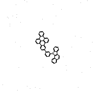 c1cc(-c2ccc3c(c2)c2cccc4c5ccccc5c5cccc3c5c42)cc(-n2c3ccccc3c3ccc4ccccc4c32)c1